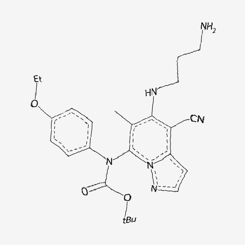 CCOc1ccc(N(C(=O)OC(C)(C)C)c2c(C)c(NCCCN)c(C#N)c3ccnn23)cc1